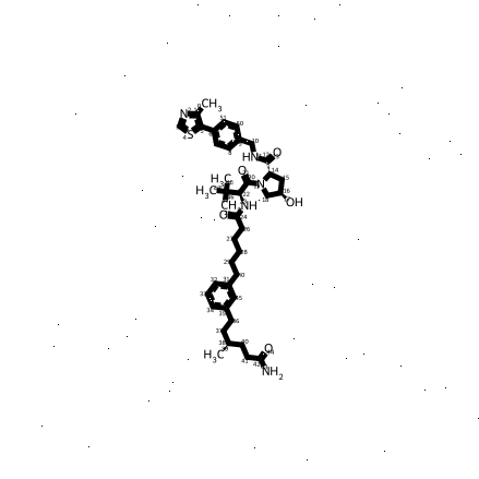 Cc1ncsc1-c1ccc(CNC(=O)[C@@H]2C[C@@H](O)CN2C(=O)[C@@H](NC(=O)CCCCCc2cccc(CC[C@@H](C)CCC(N)=O)c2)C(C)(C)C)cc1